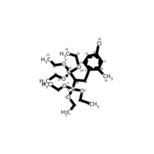 CCO[Si](OCC)(OCC)C(Cc1ccc(Cl)cc1C)[Si](OCC)(OCC)OCC